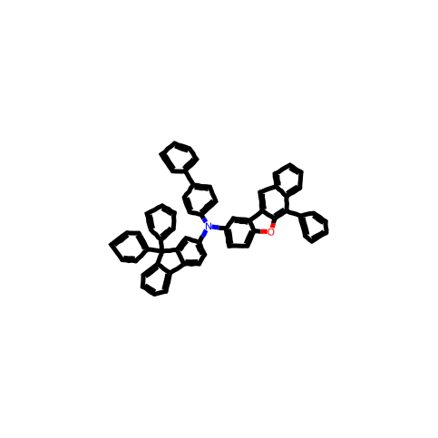 c1ccc(-c2ccc(N(c3ccc4c(c3)C(c3ccccc3)(c3ccccc3)c3ccccc3-4)c3ccc4oc5c(-c6ccccc6)c6ccccc6cc5c4c3)cc2)cc1